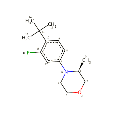 C[C@H]1COCCN1c1ccc(C(C)(C)C)c(F)c1